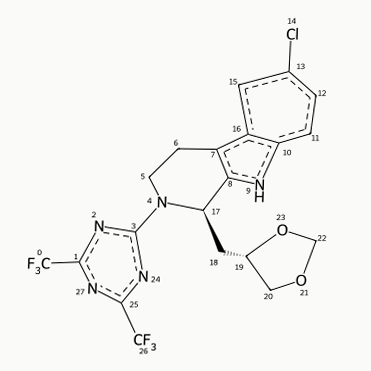 FC(F)(F)c1nc(N2CCc3c([nH]c4ccc(Cl)cc34)[C@H]2C[C@H]2COCO2)nc(C(F)(F)F)n1